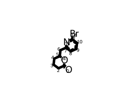 O=C1CCCC(Cc2cccc(Br)n2)O1